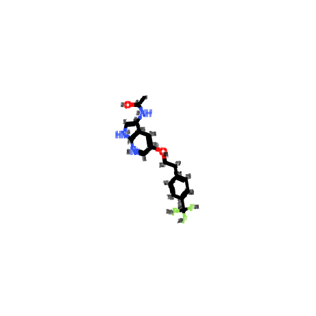 CC(=O)Nc1c[nH]c2ncc(OCCc3ccc(C(F)(F)F)cc3)cc12